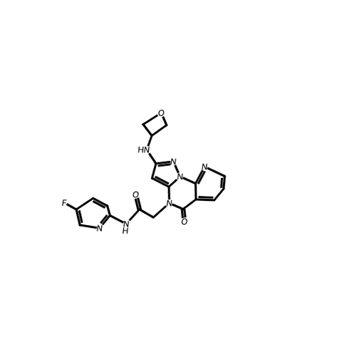 O=C(Cn1c(=O)c2cccnc2n2nc(NC3COC3)cc12)Nc1ccc(F)cn1